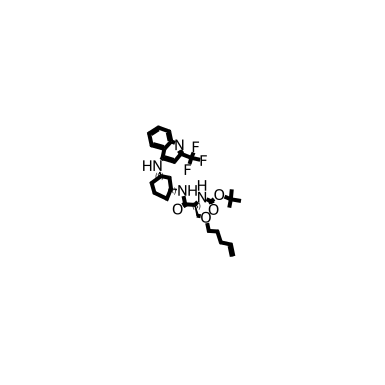 C=CCCCOC[C@H](NC(=O)OC(C)(C)C)C(=O)N[C@@H]1CCC[C@H](Nc2cc(C(F)(F)F)nc3ccccc23)C1